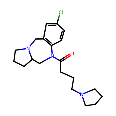 O=C(CCCN1CCCC1)N1CC2CCCN2Cc2cc(Cl)ccc21